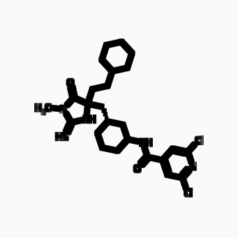 CN1C(=N)NC(CCC2CCCCC2)(C[C@H]2CCCC(NC(=O)c3cc(Cl)nc(Cl)c3)C2)C1=O